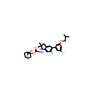 CC(C)COc1cc(Cl)cc(-c2cc3c(cc2F)[C@H](NC(=O)O[C@H]2CN4CCC2CC4)C(C)(C)C3)c1